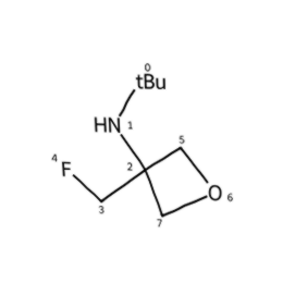 CC(C)(C)NC1(CF)COC1